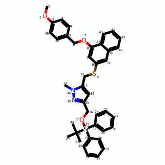 COc1ccc(COc2cc(SCc3cc(CO[Si](c4ccccc4)(c4ccccc4)C(C)(C)C)nn3C)cc3ccccc23)cc1